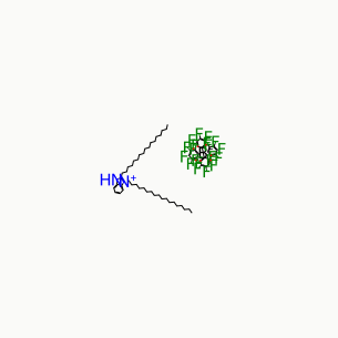 CCCCCCCCCCCCCCCCCC[n+]1c(CCCCCCCCCCCCCCCCC)[nH]c2ccccc21.Fc1c(F)c(F)c([B-](c2c(F)c(F)c(F)c(F)c2F)(c2c(F)c(F)c(F)c(F)c2F)c2c(F)c(F)c(F)c(F)c2F)c(F)c1F